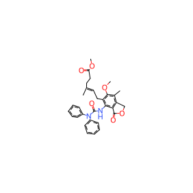 COC(=O)CC/C(C)=C/Cc1c(NC(=O)N(c2ccccc2)c2ccccc2)c2c(c(C)c1OC)COC2=O